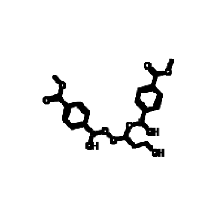 COC(=O)c1ccc(B(O)OOC(CCO)OB(O)c2ccc(C(=O)OC)cc2)cc1